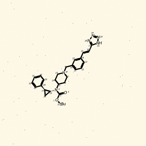 CC(C)(C)OC(=O)N(C1CCN(Cc2cccc(/C=C/c3nnn[nH]3)c2)CC1)[C@@H]1C[C@H]1c1ccccc1